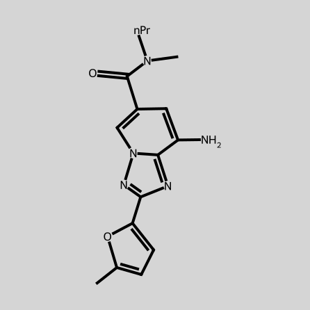 CCCN(C)C(=O)c1cc(N)c2nc(-c3ccc(C)o3)nn2c1